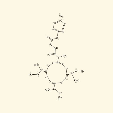 CC(C(=O)NCC(=O)Oc1ccc([N+](=O)[O-])cc1)N1CCN(C(C=O)OC(C)(C)C)CCN(C(C=O)OC(C)(C)C)CCN(C(C=O)OC(C)(C)C)CC1